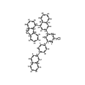 Clc1nc(-c2ccc(-c3ccc4ccccc4c3)cc2)nc(-c2cc(-c3cccc4oc5ccccc5c34)c3ccccc3c2)n1